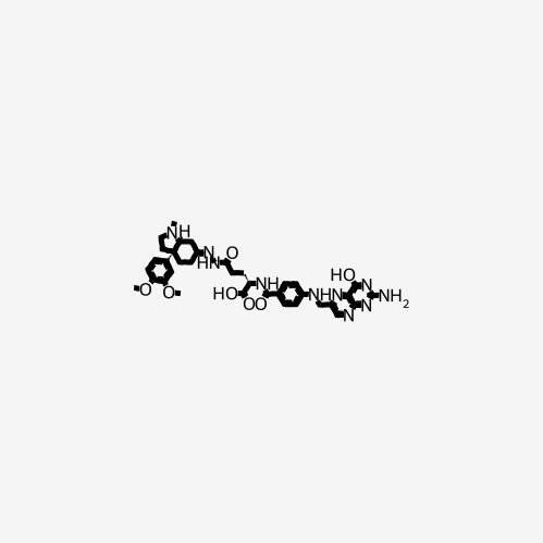 COc1ccc([C@@]23CCC(=NNC(=O)CC[C@H](NC(=O)c4ccc(NCc5cnc6nc(N)nc(O)c6n5)cc4)C(=O)O)C[C@@H]2N(C)CC3)cc1OC